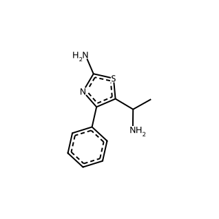 CC(N)c1sc(N)nc1-c1ccccc1